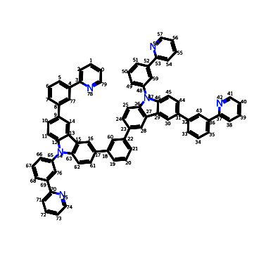 c1ccc(-c2cccc(-c3ccc4c(c3)c3cc(-c5cccc(-c6ccc7c(c6)c6cc(-c8cccc(-c9ccccn9)c8)ccc6n7-c6cccc(-c7ccccn7)c6)c5)ccc3n4-c3cccc(-c4ccccn4)c3)c2)nc1